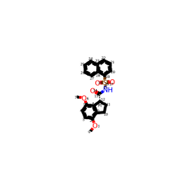 COc1ccc(OC)c2c1CC[C@H]2C(=O)NS(=O)(=O)c1cccc2ccccc12